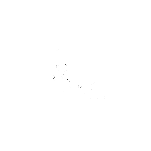 N#Cc1c(-c2ccc(-c3nc(-c4ccccc4)nc(-c4ccccc4)n3)c(-n3c4ccccc4c4ccccc43)c2)cccc1-n1c2ccccc2c2ccccc21